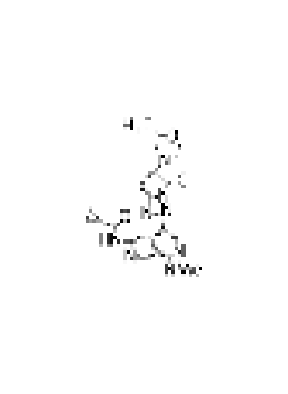 CNc1ncc(-c2nc3ccc(N4CCOC(C)C4)c(Cl)n3n2)c2cc(NC(=O)C3CC3)ncc12